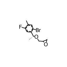 Cc1cc(Br)c([C@@H](C)OCC2CO2)cc1F